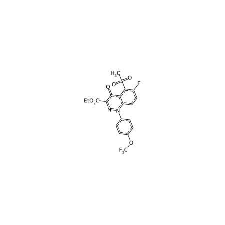 CCOC(=O)c1nn(-c2ccc(OC(F)(F)F)cc2)c2ccc(F)c(S(C)(=O)=O)c2c1=O